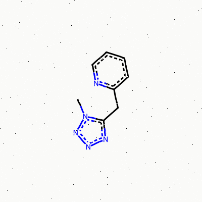 Cn1nnnc1Cc1ccccn1